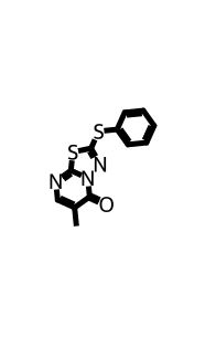 Cc1cnc2sc(Sc3ccccc3)nn2c1=O